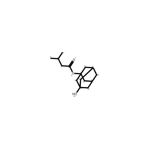 CC(C)CC(=O)OC12CC3CC(CC(O)(C3)C1)C2